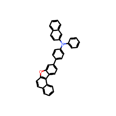 c1ccc(N(c2ccc(-c3ccc4c(c3)oc3ccc5ccccc5c34)cc2)c2ccc3ccccc3c2)cc1